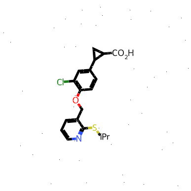 CC(C)Sc1ncccc1COc1ccc(C2CC2C(=O)O)cc1Cl